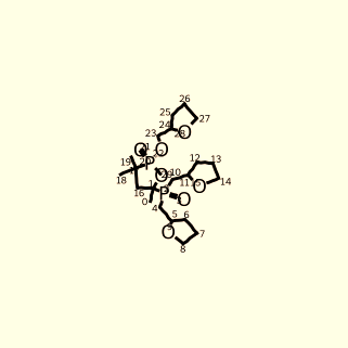 CC1(P(=O)(CC2CCCO2)CC2CCCO2)CC(C)(C)P(=O)(OCC2CCCO2)O1